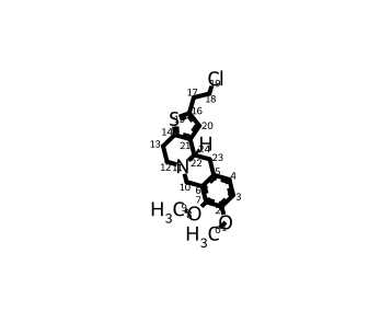 COc1ccc2c(c1OC)CN1CCc3sc(CCCl)cc3[C@@H]1C2